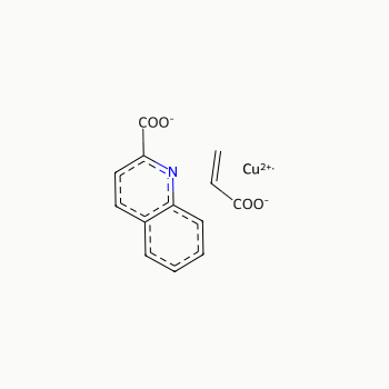 C=CC(=O)[O-].O=C([O-])c1ccc2ccccc2n1.[Cu+2]